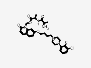 CC(N)C(=O)NC(C)C(=O)OCn1c(=O)ccc2ccc(OCCCCN3CCN(c4cccc(Cl)c4Cl)CC3)cc21